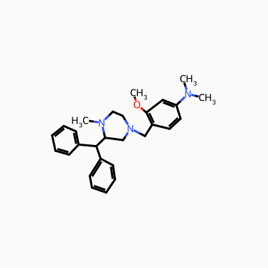 COc1cc(N(C)C)ccc1CN1CCN(C)C(C(c2ccccc2)c2ccccc2)C1